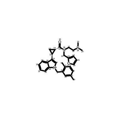 Cc1ccc(C)c(Cn2cc([C@H]3C[C@@H]3C(=O)N(CCN(C)C)Cc3ccco3)c3ccccc32)c1